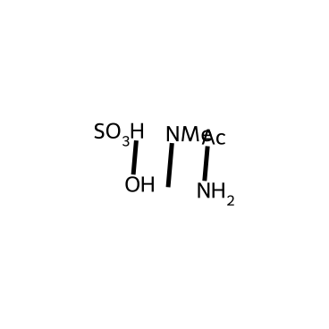 CC(N)=O.CNC.O=S(=O)(O)O